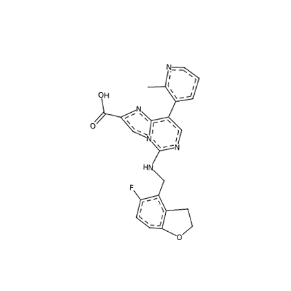 Cc1ncccc1-c1cnc(NCc2c(F)ccc3c2CCO3)n2cc(C(=O)O)nc12